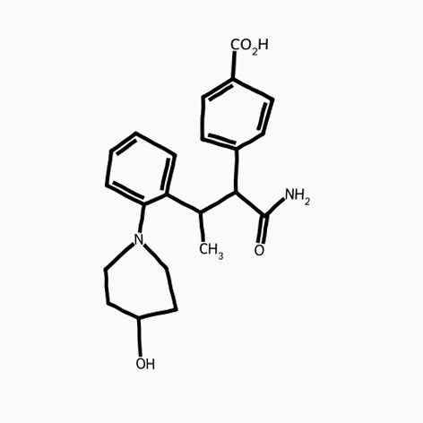 CC(c1ccccc1N1CCC(O)CC1)C(C(N)=O)c1ccc(C(=O)O)cc1